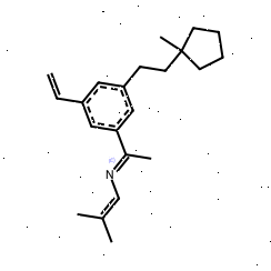 C=Cc1cc(CCC2(C)CCCC2)cc(/C(C)=N/C=C(C)C)c1